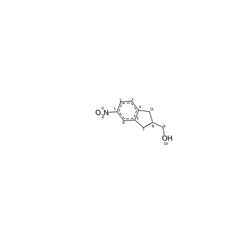 O=[N+]([O-])c1ccc2c(c1)CC(CO)C2